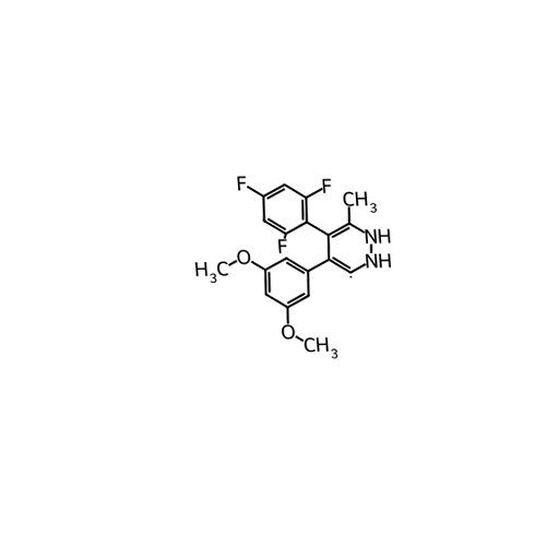 COc1cc(OC)cc(C2=[C]NNC(C)=C2c2c(F)cc(F)cc2F)c1